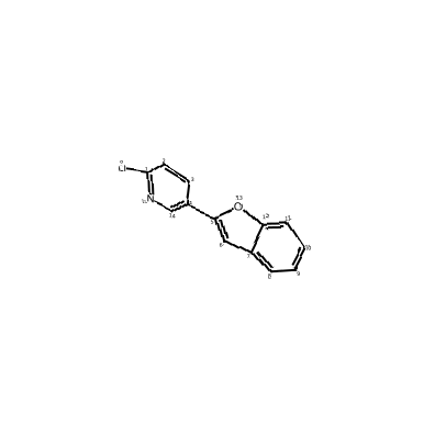 Clc1ccc(-c2cc3ccccc3o2)cn1